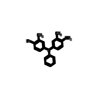 Cc1cc(N(c2ccccc2)c2ccc([N+](=O)[O-])c(C)c2)ccc1C(C)C